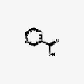 O=C(O)c1[c]nccn1